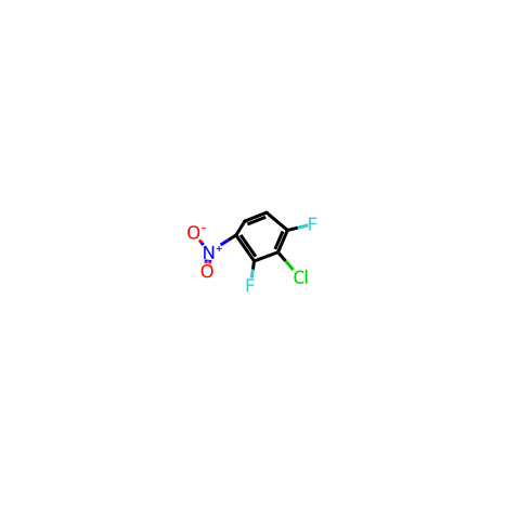 O=[N+]([O-])c1ccc(F)c(Cl)c1F